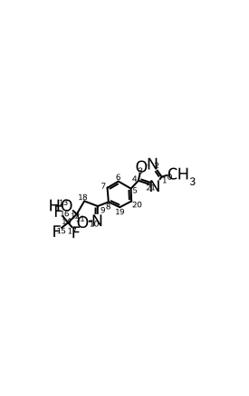 Cc1noc(-c2ccc(C3=NOC(O)(C(F)(F)F)C3)cc2)n1